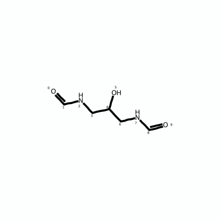 O=CNCC(O)CNC=O